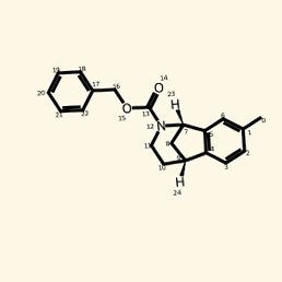 Cc1ccc2c(c1)[C@@H]1C[C@H]2CCN1C(=O)OCc1ccccc1